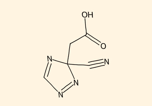 N#CC1(CC(=O)O)N=CN=N1